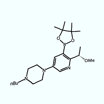 CCCCN1CCN(c2cnc([C@H](C)OC)c(B3OC(C)(C)C(C)(C)O3)c2)CC1